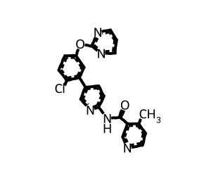 Cc1ccncc1C(=O)Nc1ccc(-c2cc(Oc3ncccn3)ccc2Cl)cn1